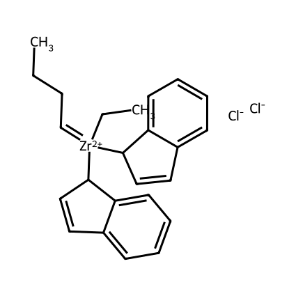 CCC[CH]=[Zr+2]([CH2]C)([CH]1C=Cc2ccccc21)[CH]1C=Cc2ccccc21.[Cl-].[Cl-]